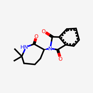 CC1(C)CCC[C@H](N2C(=O)c3ccccc3C2=O)C(=O)N1